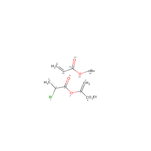 C=C(OC(=O)C(C)Br)C(=O)OCC.C=CC(=O)OCCCC